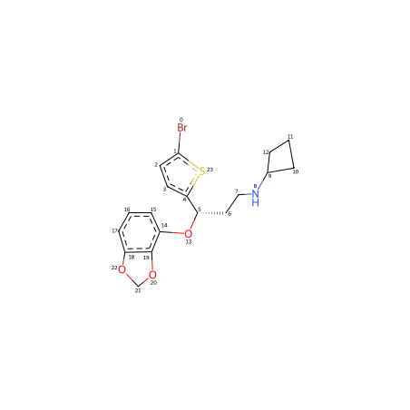 Brc1ccc([C@H](CCNC2CCC2)Oc2cccc3c2OCO3)s1